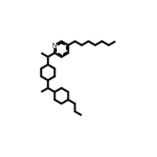 CCCCCCCc1ccc(C(C)C2CCC(C(C)C3CCC(CCC)CC3)CC2)nc1